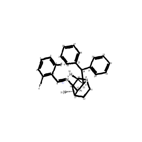 Fc1cccc(F)c1/C=N/[C@@H]1C2CCN(CC2)[C@H]1C(c1ccccc1)c1ccccc1